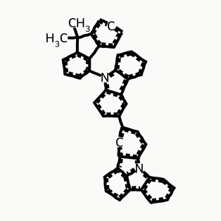 CC1(C)c2ccccc2-c2c(-n3c4ccccc4c4cc(-c5ccc6c(c5)c5cccc7c8ccccc8n6c75)ccc43)cccc21